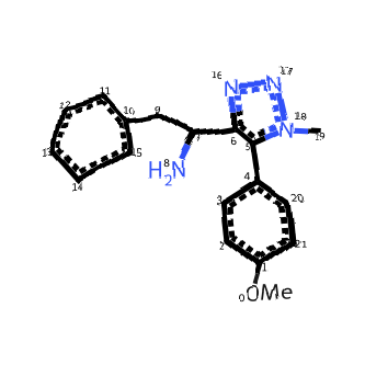 COc1ccc(-c2c(C(N)Cc3ccccc3)nnn2C)cc1